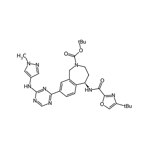 Cn1cc(Nc2ncnc(-c3ccc4c(c3)CN(C(=O)OC(C)(C)C)CC[C@H]4NC(=O)c3nc(C(C)(C)C)co3)n2)cn1